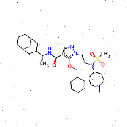 CC(NC(=O)c1cnn(CCN(C2CCNCC2)S(C)(=O)=O)c1OCC1CCCCC1)C1CC2CCCC(C2)C1